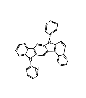 c1ccc(-n2c3cc4c5ccccc5n(-c5ccccn5)c4cc3c3c4ccccc4ccc32)cc1